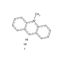 C[n+]1c2ccccc2cc2ccccc21.I.I.[I-]